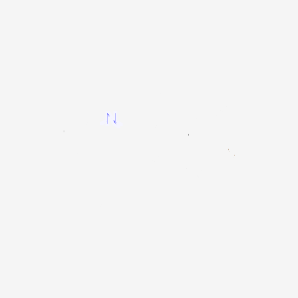 c1ccc(-c2cc(-c3cccc4c3-c3ccccc3C43c4ccccc4-c4sc5ccccc5c43)nc3ccccc23)cc1